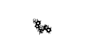 COc1cccc2c1CCC2(C)CC(O)(Cc1ccnc2ccccc12)C(F)(F)F